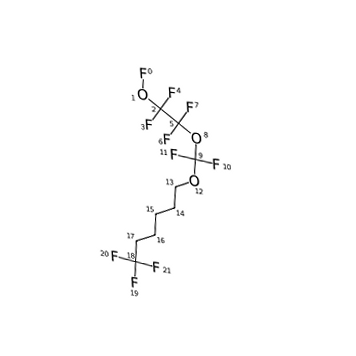 FOC(F)(F)C(F)(F)OC(F)(F)OCCCCCC(F)(F)F